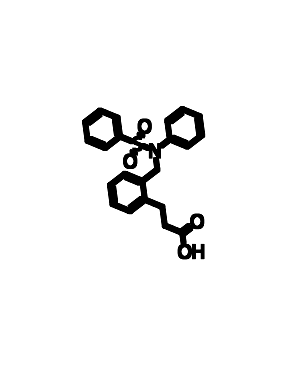 O=C(O)CCc1ccccc1CN(c1ccccc1)S(=O)(=O)c1ccccc1